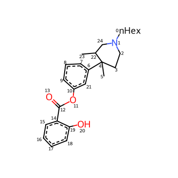 CCCCCCN1CCC(C)(c2cccc(OC(=O)c3ccccc3O)c2)C(C)C1